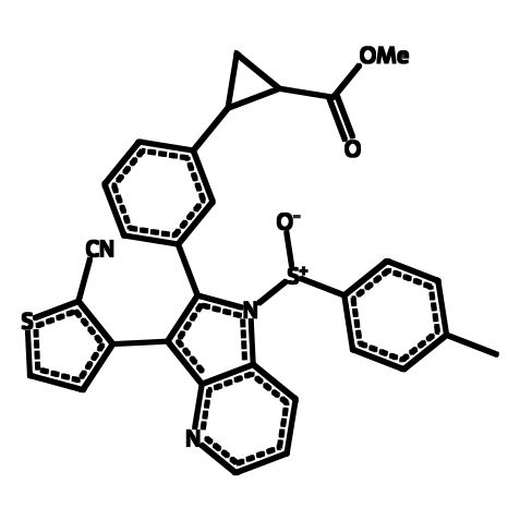 COC(=O)C1CC1c1cccc(-c2c(-c3ccsc3C#N)c3ncccc3n2[S+]([O-])c2ccc(C)cc2)c1